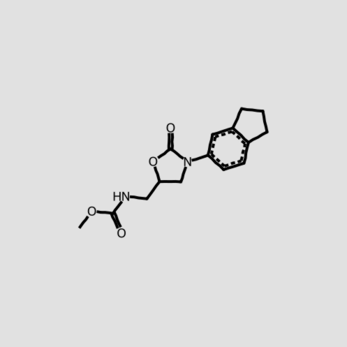 COC(=O)NCC1CN(c2ccc3c(c2)CCC3)C(=O)O1